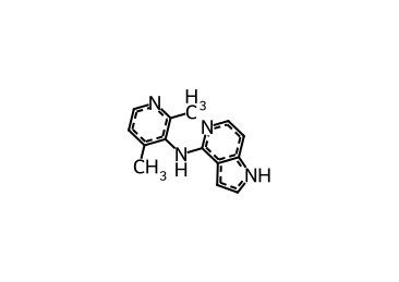 Cc1ccnc(C)c1Nc1nccc2[nH]ccc12